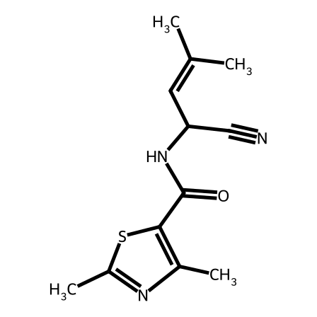 CC(C)=CC(C#N)NC(=O)c1sc(C)nc1C